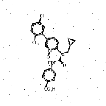 O=C(O)c1ccc(NC(=O)[C@H](CC2CC2)c2ccc(-c3cc(Cl)ccc3C(F)(F)F)c[n+]2[O-])cc1